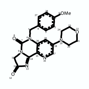 COc1ccc(CN2C(=O)N3CC(=O)N=C3c3ncc(N4CCOCC4)cc32)cc1